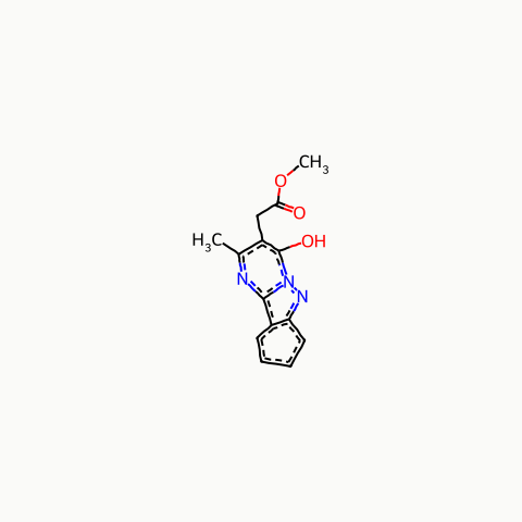 COC(=O)Cc1c(C)nc2c3ccccc3nn2c1O